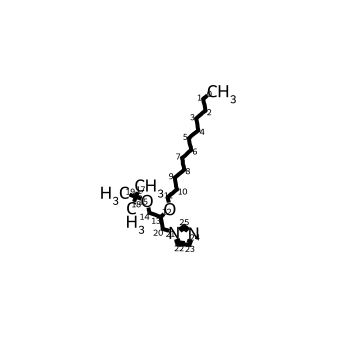 CCCCCCCCCCCCOC(COC(C)(C)C)Cn1ccnc1